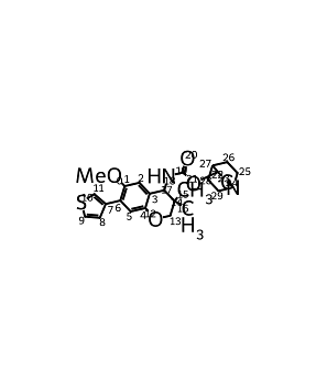 COc1cc2c(cc1-c1ccsc1)OCC(C)(C)C2NC(=O)OC1CN2CCC1CC2